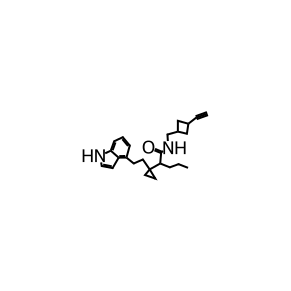 C#CC1CC(CNC(=O)C(CCC)C2(CCc3cccc4[nH]ccc34)CC2)C1